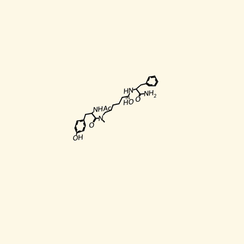 CC(=O)NC(Cc1ccc(O)cc1)C(=O)N(C)CCCCC[C@@H](O)NC(Cc1ccccc1)C(N)=O